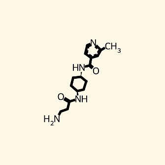 Cc1cc(C(=O)N[C@H]2CC[C@H](NC(=O)CCN)CC2)ccn1